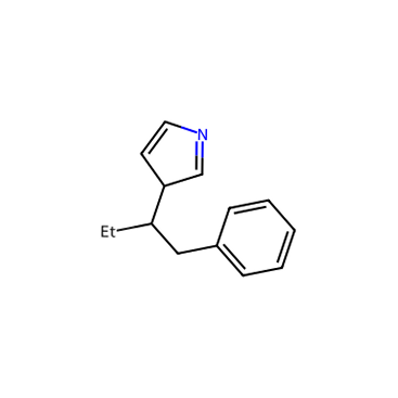 [CH2]CC(Cc1ccccc1)C1C=CN=C1